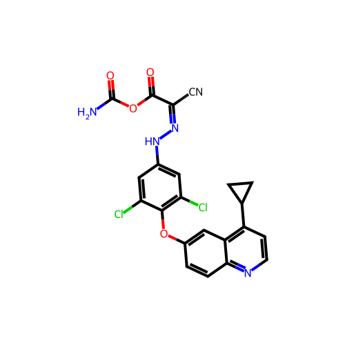 N#CC(=NNc1cc(Cl)c(Oc2ccc3nccc(C4CC4)c3c2)c(Cl)c1)C(=O)OC(N)=O